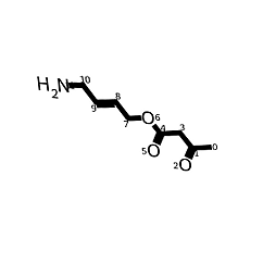 CC(=O)CC(=O)OCC=CCN